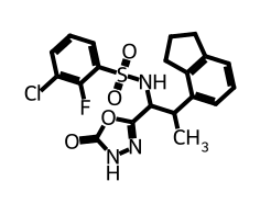 CC(c1cccc2c1CCC2)C(NS(=O)(=O)c1cccc(Cl)c1F)c1n[nH]c(=O)o1